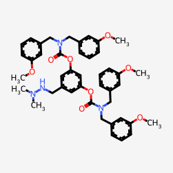 COc1cccc(CN(Cc2cccc(OC)c2)C(=O)Oc2cc(CNN(C)C)cc(OC(=O)N(Cc3cccc(OC)c3)Cc3cccc(OC)c3)c2)c1